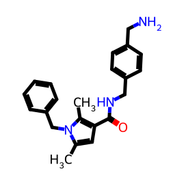 Cc1cc(C(=O)NCc2ccc(CN)cc2)c(C)n1Cc1ccccc1